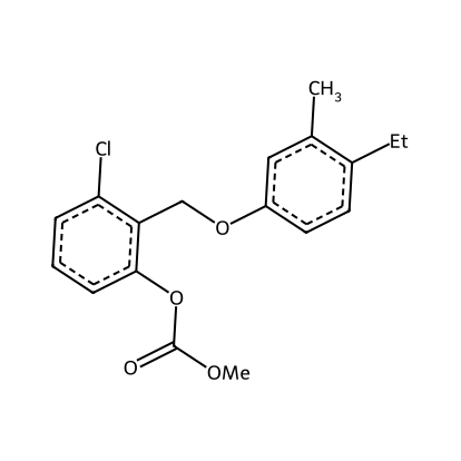 CCc1ccc(OCc2c(Cl)cccc2OC(=O)OC)cc1C